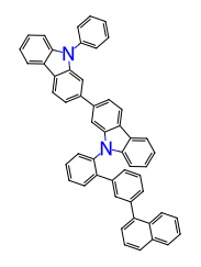 c1ccc(-n2c3ccccc3c3ccc(-c4ccc5c6ccccc6n(-c6ccccc6-c6cccc(-c7cccc8ccccc78)c6)c5c4)cc32)cc1